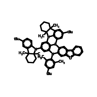 Cc1cc(C(C)(C)C)cc(C)c1N1c2cc3oc4ccccc4c3cc2B2c3cc(C(C)(C)C)cc4c3N(c3cc(N5c6ccc(C(C)(C)C)cc6C6(C)CCCCC56C)cc1c32)C1(C)CCCCC41C